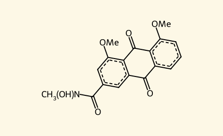 COc1cccc2c1C(=O)c1c(OC)cc(C(=O)N(C)O)cc1C2=O